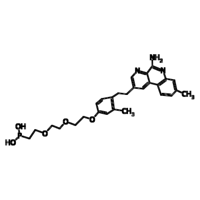 Cc1ccc2c(c1)nc(N)c1ncc(CCc3ccc(OCCOCCOCCP(O)O)cc3C)cc12